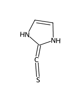 S=C=C1NC=CN1